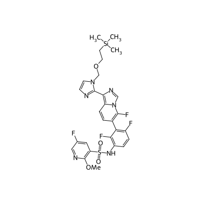 COc1ncc(F)cc1S(=O)(=O)Nc1ccc(F)c(-c2ccc3c(-c4nccn4COCC[Si](C)(C)C)ncn3c2F)c1F